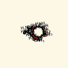 CCC(C)CCCCCCC(=O)NC(Cc1c[nH]c2ccccc12)C(=O)NC(CC(N)=O)C(=O)NC(CC(=O)O)C(=O)NC1C(=O)NCC(=O)NC(CCCN)C(=O)NC(CC(=O)O)C(=O)NC(C)C(=O)NC(C(OC)C(=O)O)C(=O)NCC(=O)NC(CC(N)=O)C(=O)NC(C(C)CC(=O)O)C(=O)NC(C(C)C)C(=O)OC1C